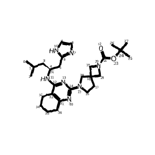 CC(C)C[C@@H](Cc1ncc[nH]1)Nc1nc(N2CCC3(CN(C(=O)OC(C)(C)C)C3)C2)nc2c1CCCC2